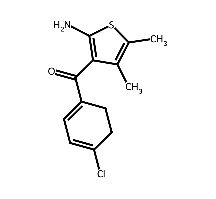 Cc1sc(N)c(C(=O)C2=CC=C(Cl)CC2)c1C